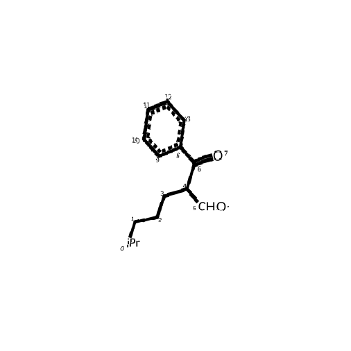 CC(C)CCCC([C]=O)C(=O)c1ccccc1